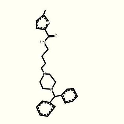 Cc1ccc(C(=O)NCCCCN2CCN(C(c3ccccc3)c3ccccc3)CC2)s1